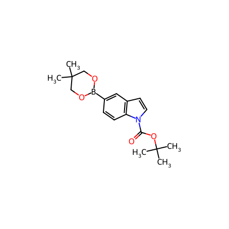 CC1(C)COB(c2ccc3c(ccn3C(=O)OC(C)(C)C)c2)OC1